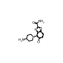 NC(=O)c1nc2c(N3CCC(N)CC3)c(Cl)ccc2s1